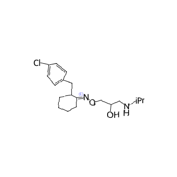 CC(C)NCC(O)CO/N=C1\CCCCC1Cc1ccc(Cl)cc1